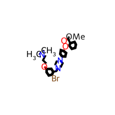 COC(=O)c1ccccc1Oc1ccc(N2CCN(Cc3cc(OCCCN(C)C)ccc3Br)CC2)cc1